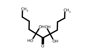 CCCCC(O)(O)C(=O)C(O)(O)CCCC